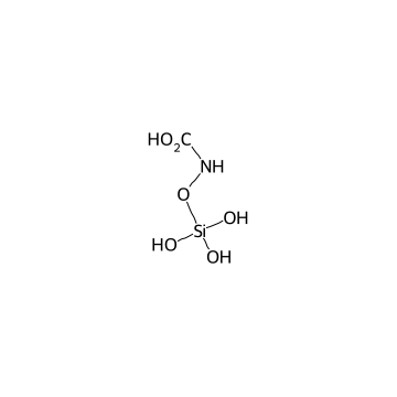 O=C(O)NO[Si](O)(O)O